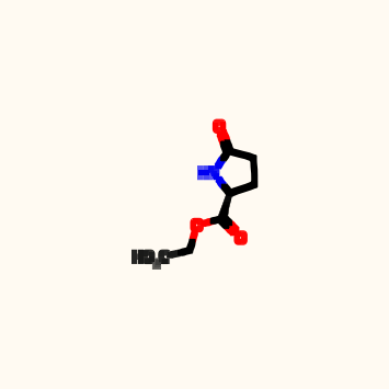 O=C(O)COC(=O)[C@@H]1CCC(=O)N1